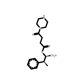 C[C@@H](c1ccccc1)[C@@H](OC(=O)CCC(=O)N1CCNCC1)C(=O)O